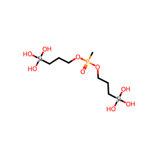 CP(=O)(OCCC[Si](O)(O)O)OCCC[Si](O)(O)O